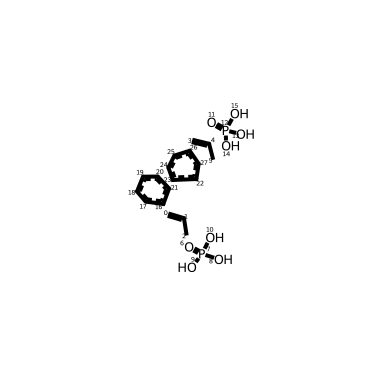 C=CC.C=CC.O=P(O)(O)O.O=P(O)(O)O.c1ccccc1.c1ccccc1